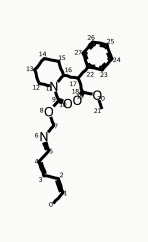 C\C=C/C=C\C=N\COC(=O)N1CCCCC1C(C(=O)OC)c1ccccc1